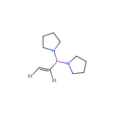 CCC=C(CC)P(N1CCCC1)N1CCCC1